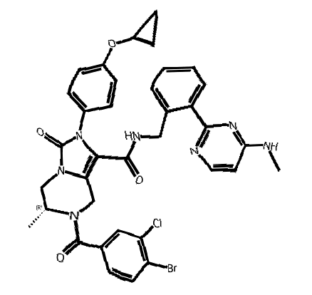 CNc1ccnc(-c2ccccc2CNC(=O)c2c3n(c(=O)n2-c2ccc(OC4CC4)cc2)C[C@@H](C)N(C(=O)c2ccc(Br)c(Cl)c2)C3)n1